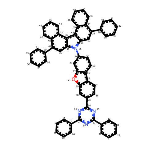 c1ccc(-c2nc(-c3ccccc3)nc(-c3ccc4c(c3)oc3cc(-n5c6cc(-c7ccccc7)c7ccccc7c6c6c7ccccc7c(-c7ccccc7)cc65)ccc34)n2)cc1